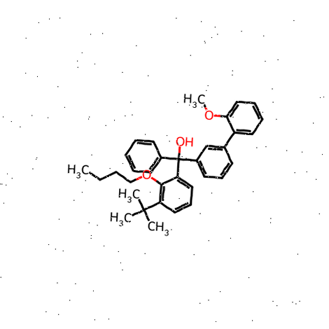 CCCCOc1c(C(C)(C)C)cccc1C(O)(c1ccccc1)c1cccc(-c2ccccc2OC)c1